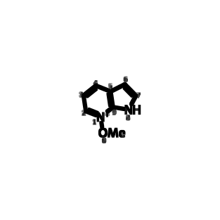 CO[n+]1cccc2cc[nH]c21